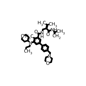 C=C(C)NC(=O)C(CNC(=O)c1cc(-c2ccc(CN3CCOCC3)cc2)cc(N(CCC)C2CCOCC2)c1C)=C(C)C